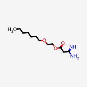 CCCCCCCOCCOC(=O)CC(=N)N